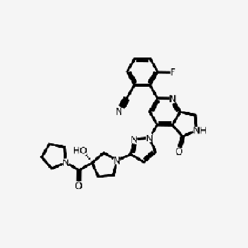 N#Cc1cccc(F)c1-c1cc(-n2ccc(N3CC[C@@](O)(C(=O)N4CCCC4)C3)n2)c2c(n1)CNC2=O